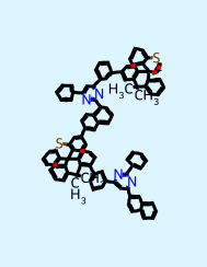 CC1(C)c2ccccc2C2(c3ccccc3Sc3ccccc32)c2ccc(-c3cccc(-c4cc(-c5ccccc5)nc(-c5cccc6cc(-c7ccc8c(c7)Sc7ccccc7C87c8ccccc8C(C)(C)c8c(-c9cccc(-c%10cc(-c%11ccc%12ccccc%12c%11)nc(-c%11ccccc%11)n%10)c9)cccc87)ccc56)n4)c3)cc21